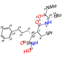 CNC(=O)[C@@H](NC(=O)C(CC(C)C)[C@@H](CCCc1ccccc1)C(=O)NO)C(C)(C)C